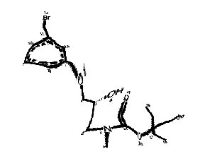 CN(C[C@@H](O)COc1cccc(Br)c1)C(=O)OC(C)(C)C